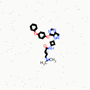 CN(C)C/C=C/C(=O)N[C@H]1C[C@H](n2ncc3ncnc(Oc4ccc(Oc5ccccc5)cc4)c32)C1